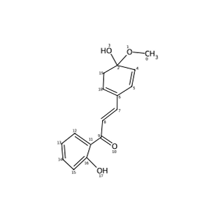 COC1(O)C=CC(C=CC(=O)c2ccccc2O)=CC1